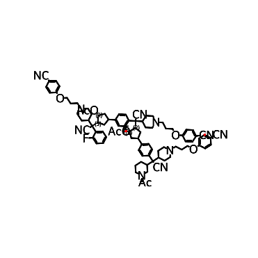 CC(=O)O[C@H]1CC(c2ccc(C(C#N)(C3CCN(CCCOc4ccc(C#N)cc4)CC3)C3CCCN(C(C)=O)C3)cc2)C[C@@H]1C(C#N)(c1ccc(C2C[C@@H](C(C#N)(c3ccccc3F)C3CCN(CCCOc4ccc(C#N)cc4)CC3)[C@H](OC(C)=O)C2)cc1F)C1CCN(CCCOc2ccc(C#N)cc2)CC1